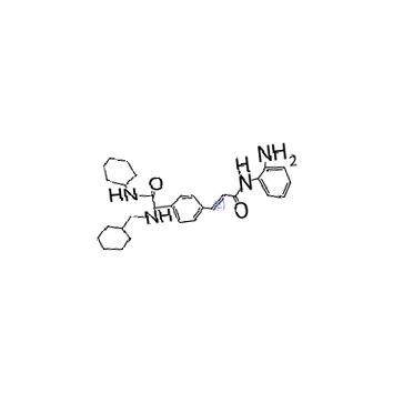 Nc1ccccc1NC(=O)/C=C/c1ccc(C(NCC2CCCCC2)C(=O)NC2CCCCC2)cc1